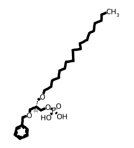 CCCCCCCCCCCCCCCCCCOC[C@@H](COCc1ccccc1)COP(=O)(O)O